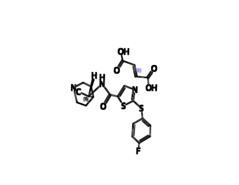 O=C(N[C@H]1CN2CCC1CC2)c1cnc(Sc2ccc(F)cc2)s1.O=C(O)/C=C/C(=O)O